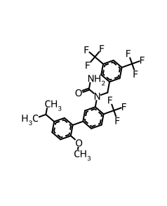 COc1ccc(C(C)C)cc1-c1ccc(C(F)(F)F)c(N(Cc2cc(C(F)(F)F)cc(C(F)(F)F)c2)C(N)=O)c1